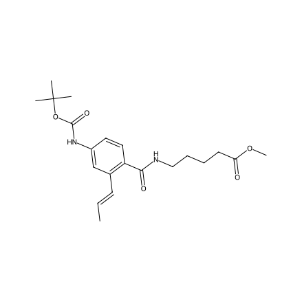 C/C=C/c1cc(NC(=O)OC(C)(C)C)ccc1C(=O)NCCCCC(=O)OC